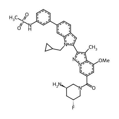 COc1cc(C(=O)N2C[C@H](N)C[C@@H](F)C2)cn2nc(-c3cc4ccc(-c5cccc(NS(C)(=O)=O)c5)cc4n3CC3CC3)c(C)c12